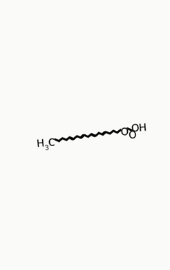 CCCCCC=CCC=CCC=CCC=CCCCCOCC(=O)O